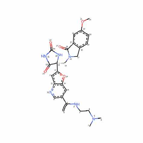 C=C(NCCN(C)C)c1cnc2cc([C@]3(CN4Cc5ccc(OC)cc5C4=O)NC(=O)NC3=O)oc2c1